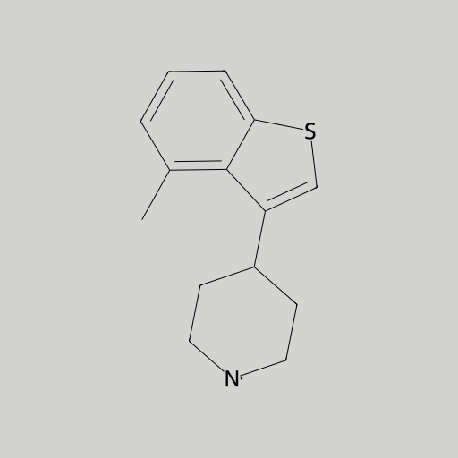 Cc1cccc2scc(C3CC[N]CC3)c12